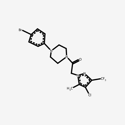 Cc1c(Cl)c(C(F)(F)F)nn1CC(=O)N1CCN(c2ccc(Br)cc2)CC1